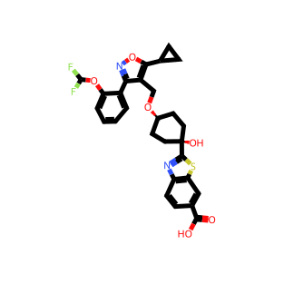 O=C(O)c1ccc2nc([C@]3(O)CC[C@@H](OCc4c(-c5ccccc5OC(F)F)noc4C4CC4)CC3)sc2c1